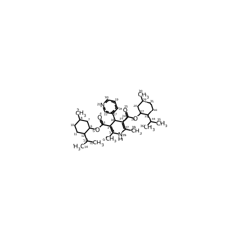 CC1=C(C(=O)OC2CC(C)CCC2C(C)C)C(c2cccnc2)C(C(=O)OC2CC(C)CCC2C(C)C)=C(C)N1